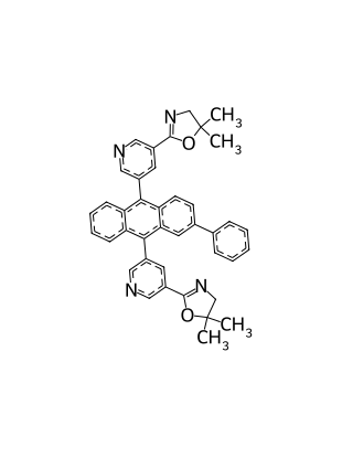 CC1(C)CN=C(c2cncc(-c3c4ccccc4c(-c4cncc(C5=NCC(C)(C)O5)c4)c4cc(-c5ccccc5)ccc34)c2)O1